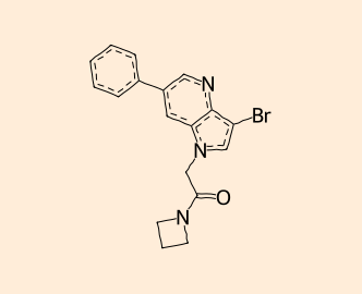 O=C(Cn1cc(Br)c2ncc(-c3ccccc3)cc21)N1CCC1